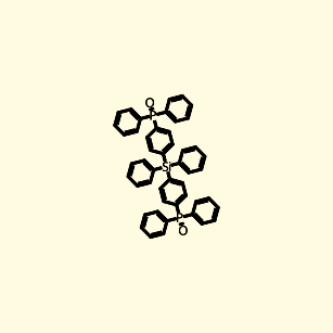 O=P(c1ccccc1)(c1ccccc1)c1ccc([Si](c2ccccc2)(c2ccccc2)c2ccc(P(=O)(c3ccccc3)c3ccccc3)cc2)cc1